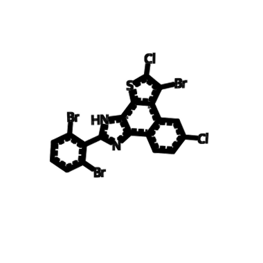 Clc1ccc2c(c1)c1c(Br)c(Cl)sc1c1[nH]c(-c3c(Br)cccc3Br)nc21